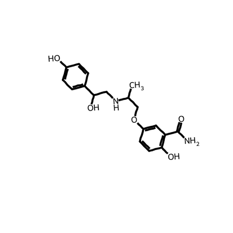 CC(COc1ccc(O)c(C(N)=O)c1)NCC(O)c1ccc(O)cc1